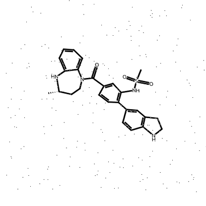 C[C@H]1CCN(C(=O)c2ccc(-c3ccc4c(c3)CCN4)c(NS(C)(=O)=O)c2)c2ccccc2N1